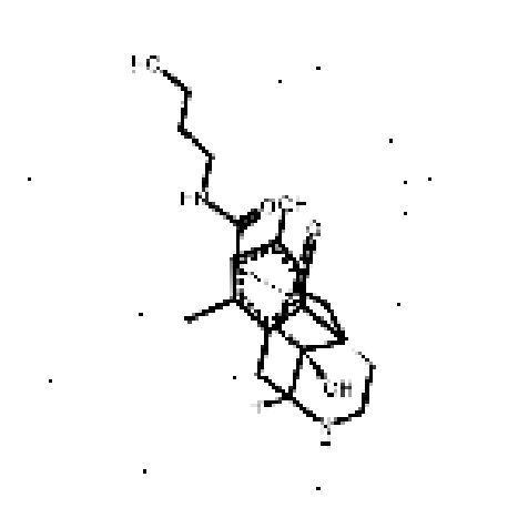 Cc1cc(O)cc2c1C[C@H]1NCC[C@@]23CC(=O)[C@@H](CC(=O)NCCCO)C[C@@]13O